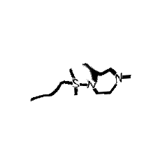 CCCS(C)(C)N1CCN(C)CC1